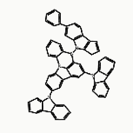 C1=Cc2c(n(B3c4ccccc4-n4c5ccc(-n6c7ccccc7c7ccccc76)cc5c5cc(-n6c7ccccc7c7ccccc76)cc3c54)c3cc(-c4ccccc4)ccc23)C1